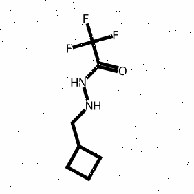 O=C(NNCC1CCC1)C(F)(F)F